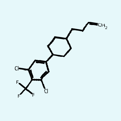 C=CCCC1CCC(c2cc(Cl)c(C(F)(F)F)c(Cl)c2)CC1